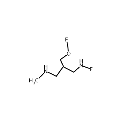 CNCC(CNF)COF